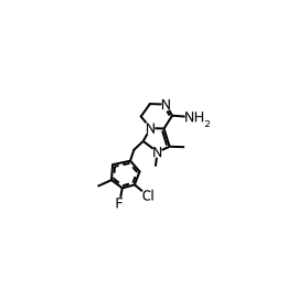 CC1=C2C(N)=NCCN2C(Cc2cc(C)c(F)c(Cl)c2)N1C